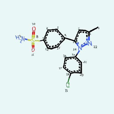 Cc1cc(-c2ccc(S(N)(=O)=O)cc2)n(-c2ccc(Cl)cc2)n1